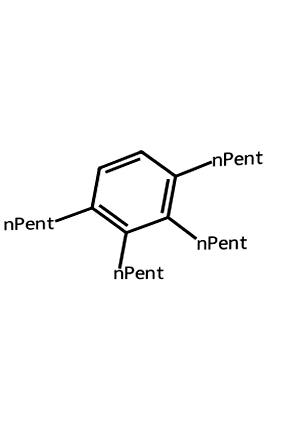 CCCCCc1ccc(CCCCC)c(CCCCC)c1CCCCC